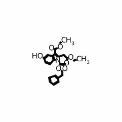 CCOC(=O)Cc1c(C(=O)OCC)c2cc(O)ccc2n1C1=COC(Cc2ccccc2)O1